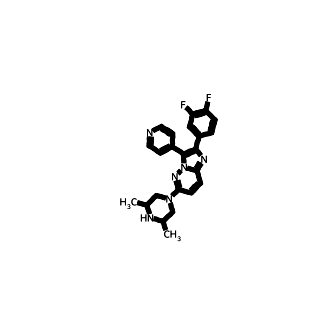 CC1CN(c2ccc3nc(-c4ccc(F)c(F)c4)c(-c4ccncc4)n3n2)CC(C)N1